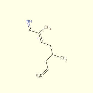 C=CCC(C)C/C=C(\C)C=N